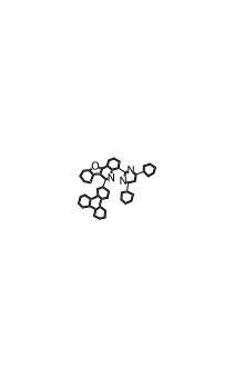 c1ccc(-c2cc(-c3ccccc3)nc(-c3cccc4c3nc(-c3ccc5c6ccccc6c6ccccc6c5c3)c3c5ccccc5oc43)n2)cc1